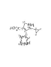 O=C(O)C1=C(c2c[nH]nn2)N(C2CC2)NC1